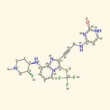 CN1CC[C@@H](Nc2cccn3c(SC(F)(F)F)c(C#CCNc4cc[nH]c(=O)n4)nc23)[C@@H](F)C1